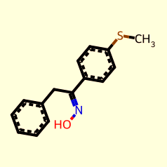 CSc1ccc(C(Cc2ccccc2)=NO)cc1